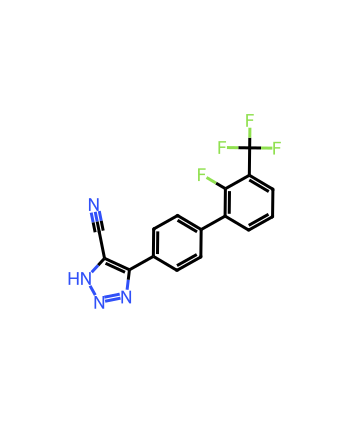 N#Cc1[nH]nnc1-c1ccc(-c2cccc(C(F)(F)F)c2F)cc1